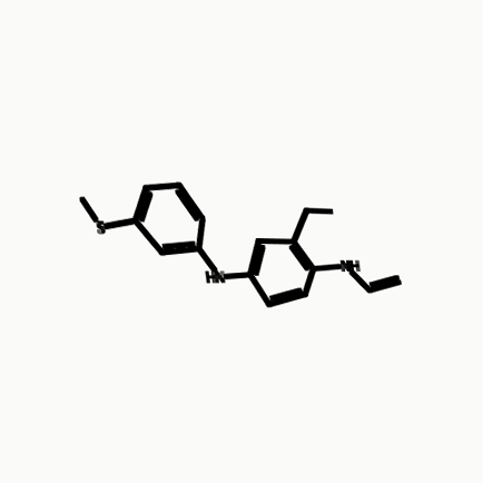 C=CNc1ccc(Nc2cccc(SC)c2)cc1CC